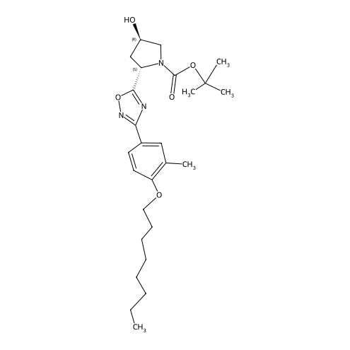 CCCCCCCCOc1ccc(-c2noc([C@@H]3C[C@@H](O)CN3C(=O)OC(C)(C)C)n2)cc1C